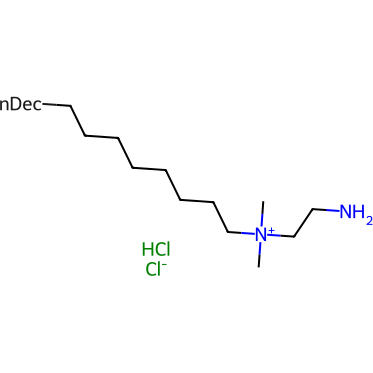 CCCCCCCCCCCCCCCCCC[N+](C)(C)CCN.Cl.[Cl-]